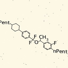 CCCCCc1ccc(C(C)OC(F)(F)c2ccc(C3CCC(CCCCC)CC3)cc2)cc1F